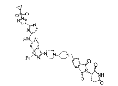 CC(C)n1nc(N2CCN(C3CCN(Cc4ccc5c(c4)C(=O)N(C4CCC(=O)NC4=O)C5=O)CC3)CC2)c2cnc(Nc3ccnc(-c4cnn(S(=O)(=O)C5CC5)c4)n3)cc21